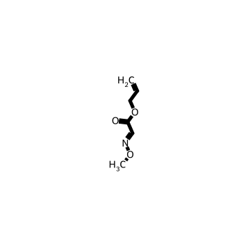 C=CCOC(=O)C=NOC